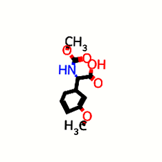 COC(=O)N[C@@H](C(=O)O)C1C=C(OC)C=CC1